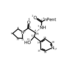 CCCCCC(=O)N[C@@H](C(=O)N1CCCC1)C(O)c1ccncc1